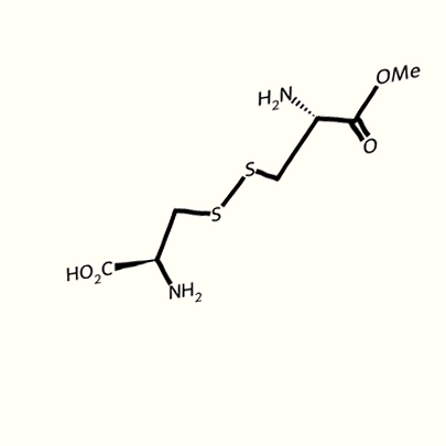 COC(=O)[C@@H](N)CSSC[C@@H](N)C(=O)O